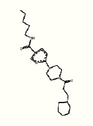 CCCCCNC(=O)c1ccc(N2CCN(C(=O)CCC3CCCCC3)CC2)nc1